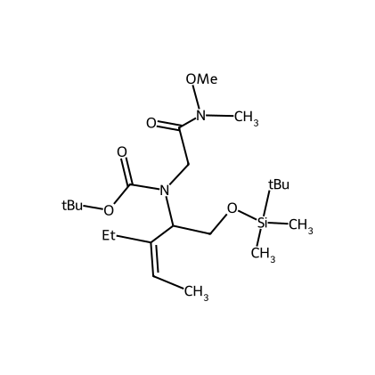 CC=C(CC)C(CO[Si](C)(C)C(C)(C)C)N(CC(=O)N(C)OC)C(=O)OC(C)(C)C